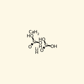 O=[Si](O)O.O=[Si](O)O.[CaH2].[LiH]